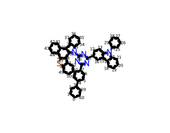 c1ccc(-c2ccc(-c3nc(-c4ccc5c(c4)c4ccccc4n5-c4ccccc4)nc(-n4c5ccccc5c5c6ccccc6c6sc7ccccc7c6c54)n3)cc2)cc1